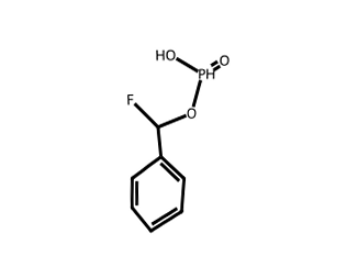 O=[PH](O)OC(F)c1ccccc1